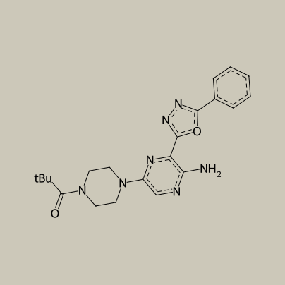 CC(C)(C)C(=O)N1CCN(c2cnc(N)c(-c3nnc(-c4ccccc4)o3)n2)CC1